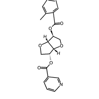 Cc1ccccc1C(=O)O[C@H]1CO[C@H]2[C@@H]1OC[C@H]2OC(=O)c1cccnc1